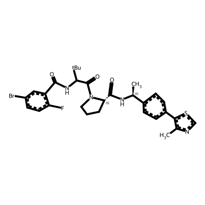 Cc1ncsc1-c1ccc([C@H](C)NC(=O)[C@@H]2CCCN2C(=O)C(NC(=O)c2cc(Br)ccc2F)C(C)(C)C)cc1